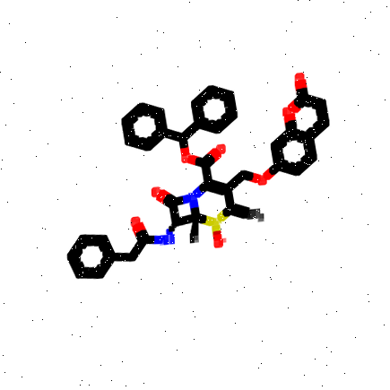 C=C1C(COc2ccc3ccc(=O)oc3c2)=C(C(=O)OC(c2ccccc2)c2ccccc2)N2C(=O)[C@@H](NC(=O)Cc3ccccc3)[C@H]2[S+]1[O-]